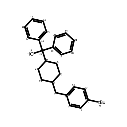 CC(C)(C)c1ccc(CC2CCC(C(O)(c3ccccc3)c3ccccc3)CC2)cc1